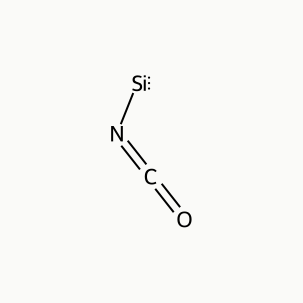 O=C=N[Si]